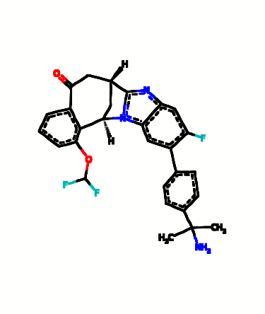 CC(C)(N)c1ccc(-c2cc3c(cc2F)nc2n3[C@@H]3C[C@@H]2CC(=O)c2cccc(OC(F)F)c23)cc1